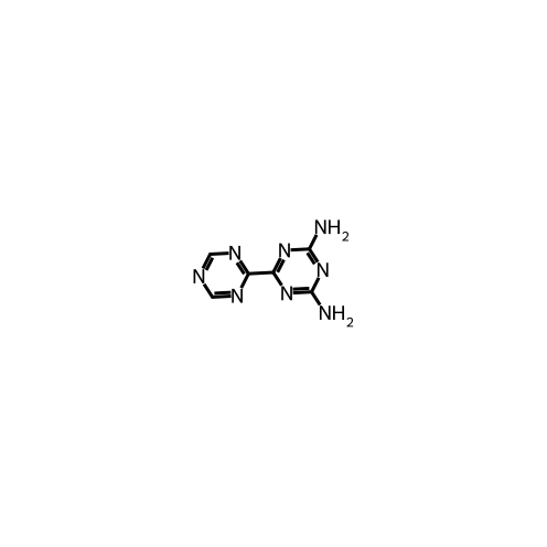 Nc1nc(N)nc(-c2ncncn2)n1